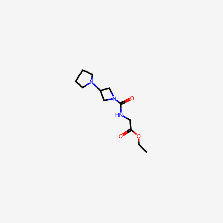 CCOC(=O)CNC(=O)N1CC(N2CCCC2)C1